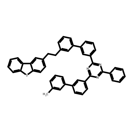 Cc1cccc(-c2cccc(-c3nc(-c4ccccc4)nc(-c4cccc(-c5cccc(CCc6ccc7sc8ccccc8c7c6)c5)c4)n3)c2)c1